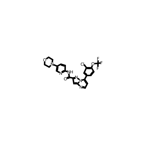 O=C(Nc1ccc(N2CCOCC2)cn1)c1cc2nccc(-c3ccc(OC(F)(F)F)c(Cl)c3)n2n1